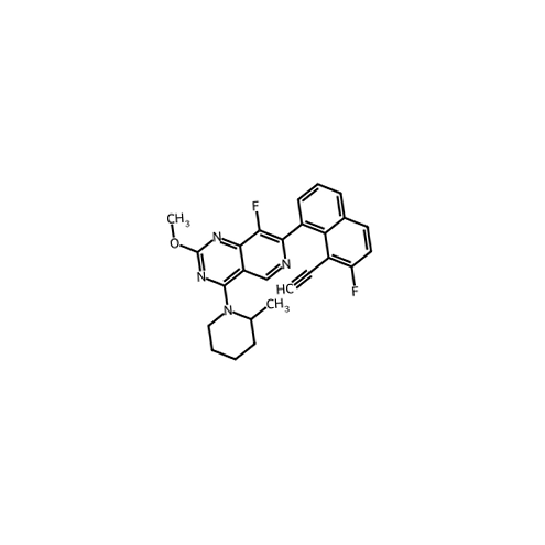 C#Cc1c(F)ccc2cccc(-c3ncc4c(N5CCCCC5C)nc(OC)nc4c3F)c12